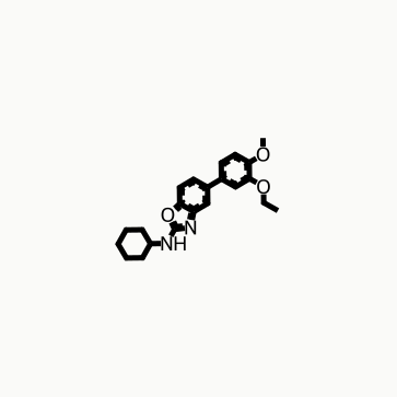 CCOc1cc(-c2ccc3oc(NC4CCCCC4)nc3c2)ccc1OC